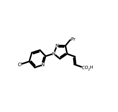 CC(C)c1nn(-c2ccc(Cl)cn2)cc1C=CC(=O)O